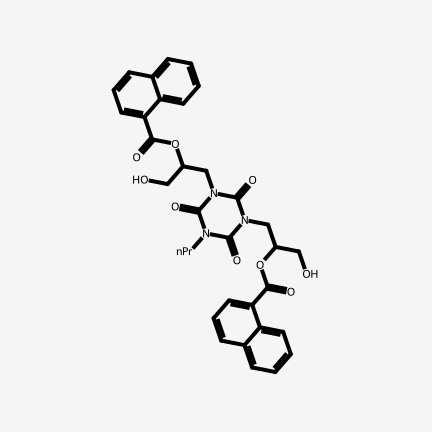 CCCn1c(=O)n(CC(CO)OC(=O)c2cccc3ccccc23)c(=O)n(CC(CO)OC(=O)c2cccc3ccccc23)c1=O